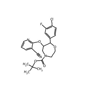 CC(C)(C)OC(=O)N1CCOC(c2ccc(Cl)c(F)c2)C(Oc2ncccc2C#N)C1